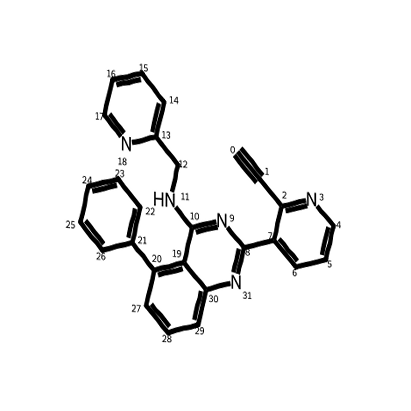 C#Cc1ncccc1-c1nc(NCc2ccccn2)c2c(-c3ccccc3)cccc2n1